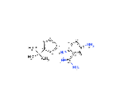 CC(C)(C)c1cccc(-n2nc(N)c3cc(N)ccc32)c1